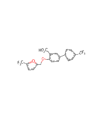 O=C(O)c1cc(-c2ccc(C(F)(F)F)cc2)ccc1OCc1ccc(C(F)(F)F)o1